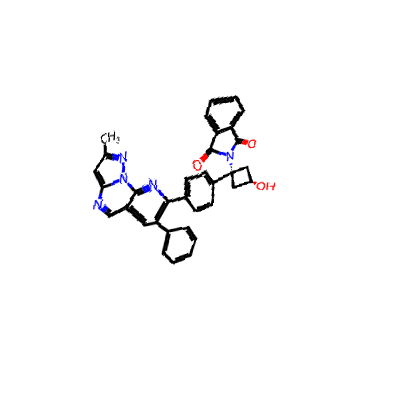 Cc1cc2ncc3cc(-c4ccccc4)c(-c4ccc([C@]5(N6C(=O)c7ccccc7C6=O)C[C@H](O)C5)cc4)nc3n2n1